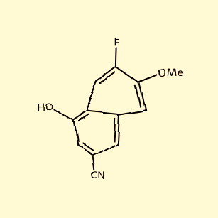 COc1cc2cc(C#N)cc(O)c2cc1F